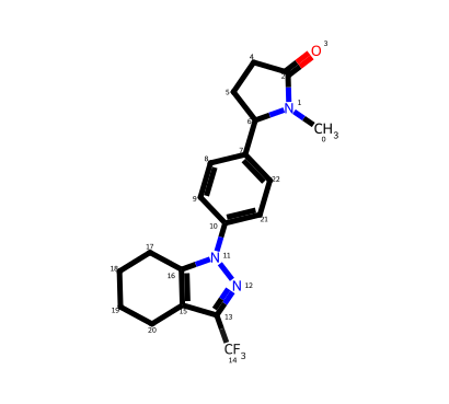 CN1C(=O)CCC1c1ccc(-n2nc(C(F)(F)F)c3c2CCCC3)cc1